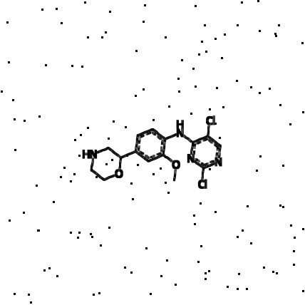 COc1cc(C2CNCCO2)ccc1Nc1nc(Cl)ncc1Cl